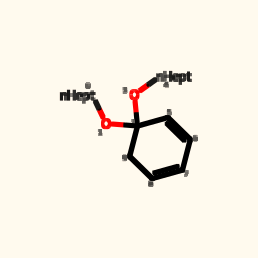 CCCCCCCOC1(OCCCCCCC)C=CC=CC1